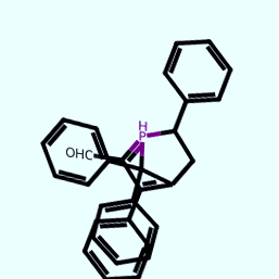 O=CC1=[PH]2C(c3ccccc3)CC(=C1c1ccccc1)C2(c1ccccc1)c1ccccc1